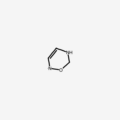 C1=CNCO[N]1